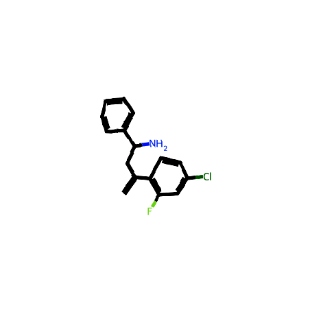 C=C(CC(N)c1ccccc1)c1ccc(Cl)cc1F